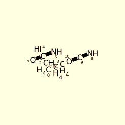 C.C.C.C.I.N=C=O.N=C=O